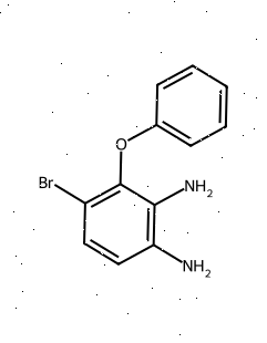 Nc1ccc(Br)c(Oc2ccccc2)c1N